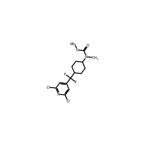 CN(C(=O)OC(C)(C)C)C1CCC(C(F)(F)c2cc(Cl)nc(Cl)c2)CC1